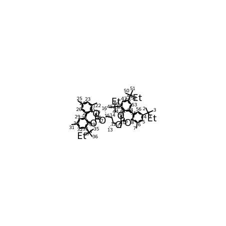 CCC(C)(C)c1cc(C)c2op(O[C@H](C)C[C@@H](C)Op3oc4c(C)cc(C)cc4c4cc(C)cc(C(C)(C)CC)c4o3)oc3c(C(C)(C)CC)cc(C(C)(C)CC)cc3c2c1